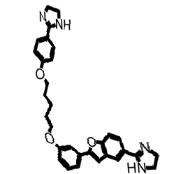 c1cc(OCCCCCOc2ccc(C3=NCCN3)cc2)cc(-c2cc3cc(C4=NCCN4)ccc3o2)c1